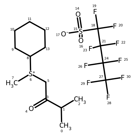 CC(C)C(=O)C[S+](C)C1CCCCC1.O=S(=O)([O-])C(F)(F)C(F)(F)C(F)(F)C(F)(F)F